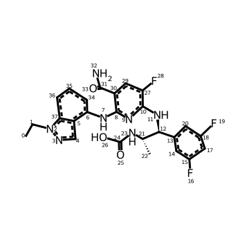 CCn1ncc2c(Nc3nc(N[C@@H](c4cc(F)cc(F)c4)[C@H](C)NC(=O)O)c(F)cc3C(N)=O)cccc21